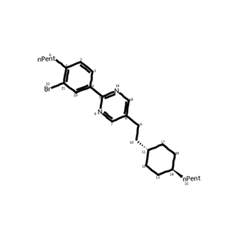 CCCCCc1ccc(-c2ncc(CC[C@H]3CC[C@H](CCCCC)CC3)cn2)cc1Br